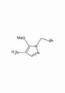 COc1c(N)cnn1CC(C)C